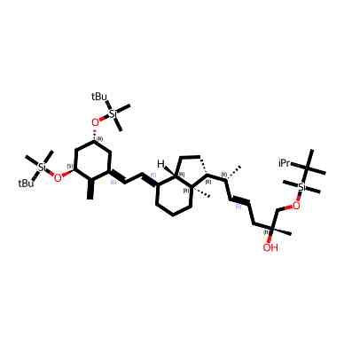 C=C1/C(=C/C=C2\CCC[C@]3(C)[C@@H]([C@H](C)/C=C/C[C@@](C)(O)CO[Si](C)(C)C(C)(C)C(C)C)CC[C@@H]23)C[C@@H](O[Si](C)(C)C(C)(C)C)C[C@@H]1O[Si](C)(C)C(C)(C)C